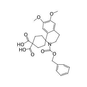 COc1cc2c(cc1OC)C1(CCC(C(=O)O)(C(=O)O)CC1)N(C(=O)OCc1ccccc1)CC2